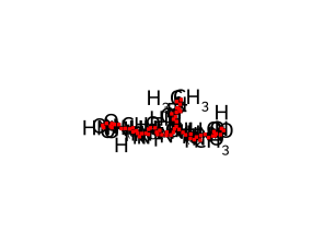 CN(CCNc1ccc2c(c1)C(=O)N(C1CCC(=O)NC1=O)C2=O)C1C[C@@H]2CN(CCCNc3cc(N4CCC5(CC4)CN(c4cc(F)c(CN6CCC(C)(C)CC6)cc4F)CC(=O)N5)nc(CC4(C)CCN(Cc5cc(F)c(N6CC(=O)NC7(CCN(c8cc(N9C[C@H]%10C[C@@H](N(C)CCNc%11ccc%12c(c%11)C(=O)N(C%11CCC(=O)NC%11=O)C%12=O)C[C@H]%10C9)ncn8)CC7)C6)cc5F)CC4)n3)C[C@@H]2C1